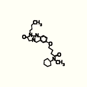 CCCCN1C(=O)CN2Cc3cc(OCCCC(=O)N(C)C4CCCCC4)ccc3N=C21